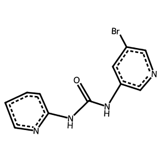 O=C(Nc1cncc(Br)c1)Nc1ccccn1